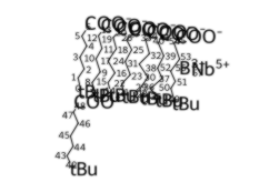 CC(C)(C)CCCCCC(=O)[O-].CC(C)(C)CCCCCC(=O)[O-].CC(C)(C)CCCCCC(=O)[O-].CC(C)(C)CCCCCC(=O)[O-].CC(C)(C)CCCCCC(=O)[O-].CC(C)(C)CCCCCC(=O)[O-].CC(C)(C)CCCCCC(=O)[O-].CC(C)(C)CCCCCC(=O)[O-].[B+3].[Nb+5]